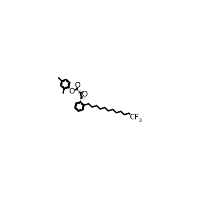 Cc1ccc(OC(=O)[C@@H]2O[C@@H]2c2ccccc2CCCCCCCCCCCC(F)(F)F)c(C)c1